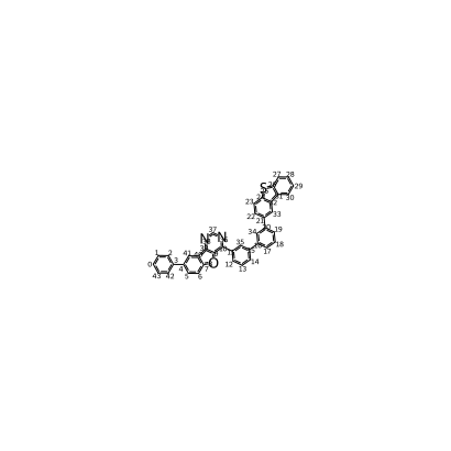 c1ccc(-c2ccc3oc4c(-c5cccc(-c6cccc(-c7ccc8sc9ccccc9c8c7)c6)c5)ncnc4c3c2)cc1